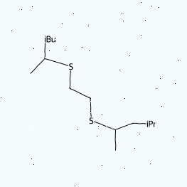 CCC(C)C(C)SCCSC(C)CC(C)C